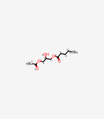 CCCCC(=O)OCC(O)COC(=O)CCCC(C)(C)C